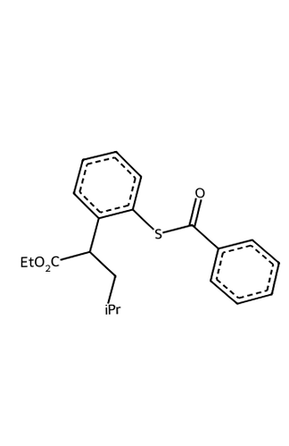 CCOC(=O)C(CC(C)C)c1ccccc1SC(=O)c1ccccc1